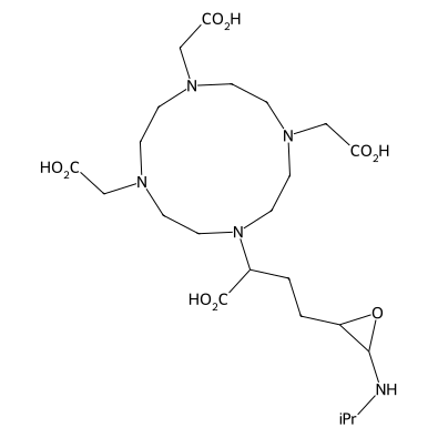 CC(C)NC1OC1CCC(C(=O)O)N1CCN(CC(=O)O)CCN(CC(=O)O)CCN(CC(=O)O)CC1